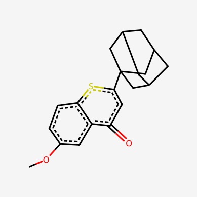 COc1ccc2sc(C34CC5CC(CC(C5)C3)C4)cc(=O)c2c1